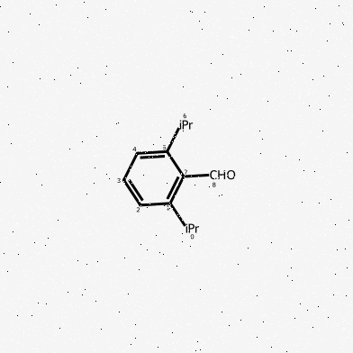 CC(C)c1cccc(C(C)C)c1C=O